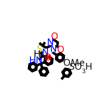 COc1ccc(CN2C(=O)CC(=O)N=C2C2N3C(=O)C(NC(c4ccccc4)(c4ccccc4)c4ccccc4)[C@@H]3SC2(C)C)cc1.Cc1ccc(S(=O)(=O)O)cc1